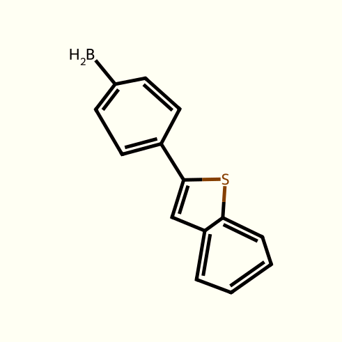 Bc1ccc(-c2cc3ccccc3s2)cc1